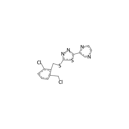 ClCc1cccc(Cl)c1CSc1nnc(-c2cnccn2)s1